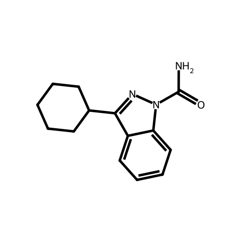 NC(=O)n1nc(C2CCCCC2)c2ccccc21